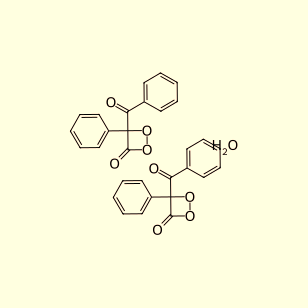 O.O=C1OOC1(C(=O)c1ccccc1)c1ccccc1.O=C1OOC1(C(=O)c1ccccc1)c1ccccc1